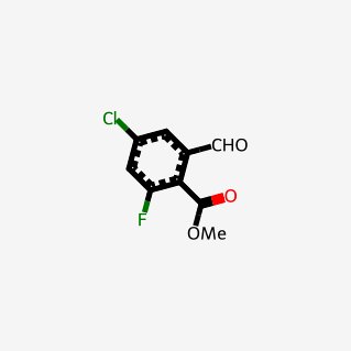 COC(=O)c1c(F)cc(Cl)cc1C=O